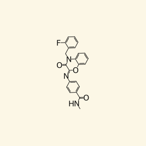 CNC(=O)c1ccc(/N=c2\oc3ccccc3n(Cc3ccccc3F)c2=O)cc1